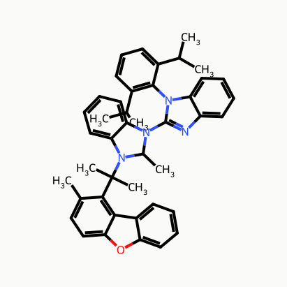 Cc1ccc2oc3ccccc3c2c1C(C)(C)N1c2ccccc2N(c2nc3ccccc3n2-c2c(C(C)C)cccc2C(C)C)C1C